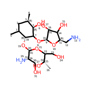 CC1C[C@@H](C)[C@@H](O)C(O[C@@H]2O[C@H](CN)C(O)[C@@H]2O)[C@@H]1O[C@@H](OC(CO)[C@H](C)O)[C@@H](N)CO